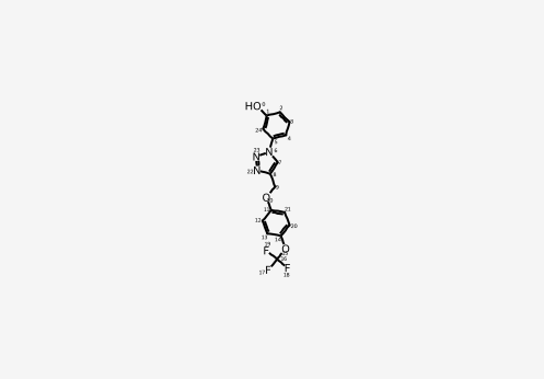 Oc1cccc(-n2cc(COc3ccc(OC(F)(F)F)cc3)nn2)c1